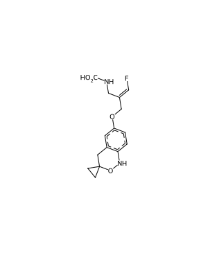 O=C(O)NC/C(=C\F)COc1ccc2c(c1)CC1(CC1)ON2